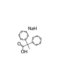 CC(C(=O)O)(c1ccccc1)c1ccccc1.[NaH]